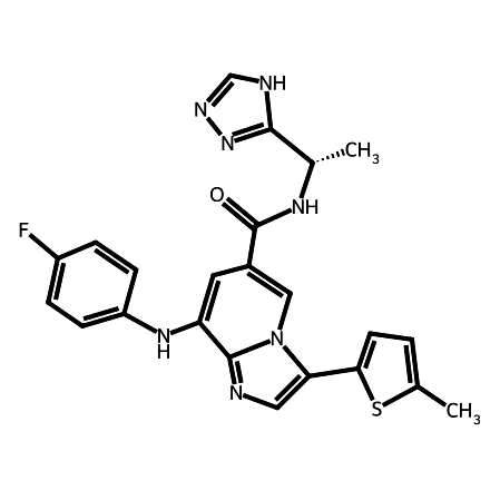 Cc1ccc(-c2cnc3c(Nc4ccc(F)cc4)cc(C(=O)N[C@@H](C)c4nnc[nH]4)cn23)s1